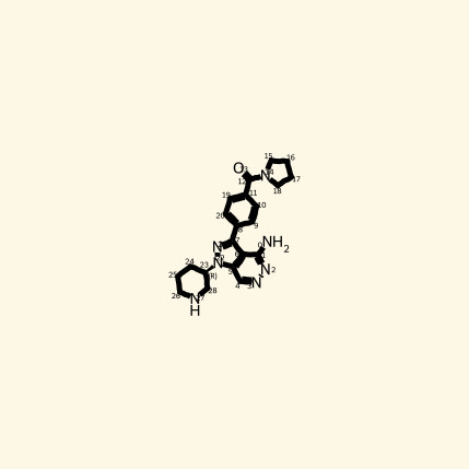 Nc1nncc2c1c(-c1ccc(C(=O)N3CCCC3)cc1)nn2[C@@H]1CCCNC1